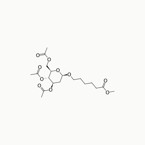 COC(=O)CCCCCO[C@H]1C[C@@H](OC(C)=O)[C@H](OC(C)=O)[C@@H](COC(C)=O)O1